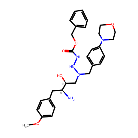 COc1ccc(C[C@H](N)[C@@H](O)CN(Cc2ccc(N3CCOCC3)cc2)NNC(=O)OCc2ccccc2)cc1